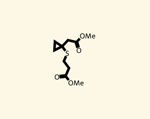 COC(=O)CCSC1(CC(=O)OC)CC1